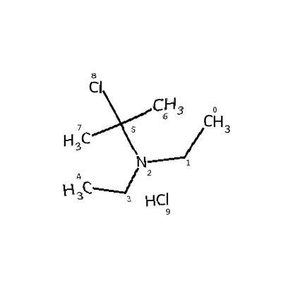 CCN(CC)C(C)(C)Cl.Cl